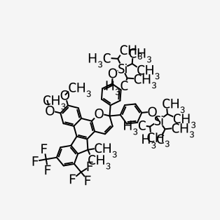 COc1cc2c3c(c4c(c2cc1OC)-c1cc(C(F)(F)F)cc(C(F)(F)F)c1C4(C)C)C=CC(c1ccc(O[Si](C(C)C)(C(C)C)C(C)C)cc1)(c1ccc(O[Si](C(C)C)(C(C)C)C(C)C)cc1)O3